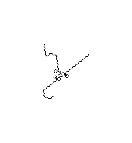 CC/C=C\C/C=C\C/C=C\CCCCCCCC(=O)O[C@@H](COC(=O)CCCCCC/C=C\C/C=C\C/C=C\CCCCC)COC(=O)CCCCCCCCCCCCCCC